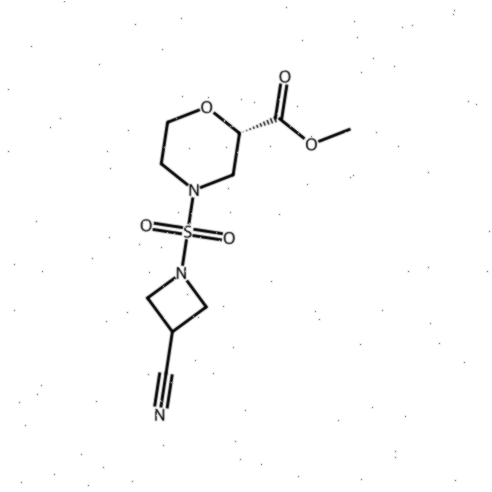 COC(=O)[C@@H]1CN(S(=O)(=O)N2CC(C#N)C2)CCO1